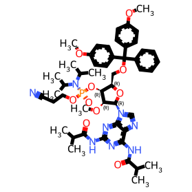 COc1ccc(C(OC[C@H]2O[C@@H](n3cnc4c(NC(=O)C(C)C)nc(NC(=O)C(C)C)nc43)[C@H](OC)[C@@H]2OP(=O)(OCCC#N)N(C(C)C)C(C)C)(c2ccccc2)c2ccc(OC)cc2)cc1